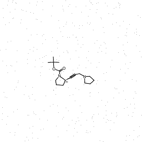 CC(C)(C)OC(=O)N1CCC[C@@H]1C#CCN1CCCC1